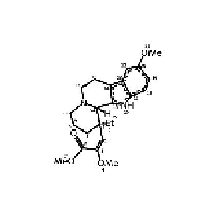 CC[C@@]1(C=C(OC)C(=O)OC)CCCN2CCc3c([nH]c4ccc(OC)cc34)[C@@H]21